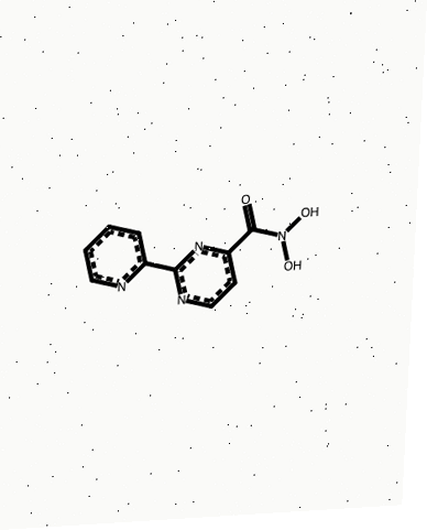 O=C(c1ccnc(-c2ccccn2)n1)N(O)O